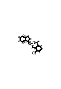 CN(N)c1cccc(Cl)c1CON=C1CCc2ccccc21